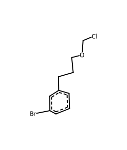 ClCOCCCc1cccc(Br)c1